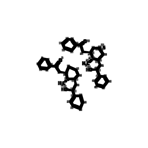 CN1[C@@H](CC(=O)c2ccccc2)CCC[C@H]1C[C@H](O)c1ccccc1.CN1[C@@H](CC(=O)c2ccccc2)CCC[C@H]1C[C@H](O)c1ccccc1.S